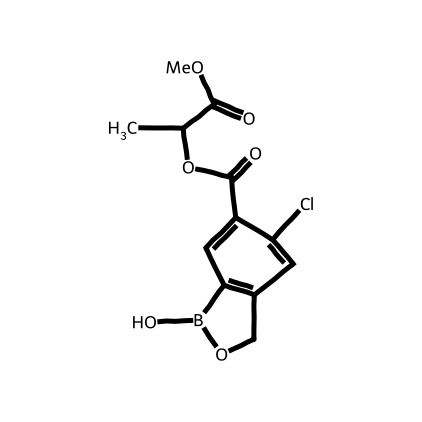 COC(=O)C(C)OC(=O)c1cc2c(cc1Cl)COB2O